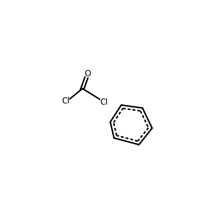 O=C(Cl)Cl.c1ccccc1